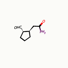 O=C[C@H]1CCC[C@@H]1CC(=O)P